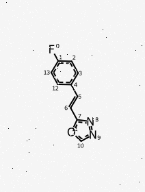 Fc1ccc(C=Cc2nnco2)cc1